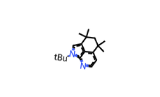 CC1(C)CC(C)(C)c2cn(C(C)(C)C)c3nccc1c23